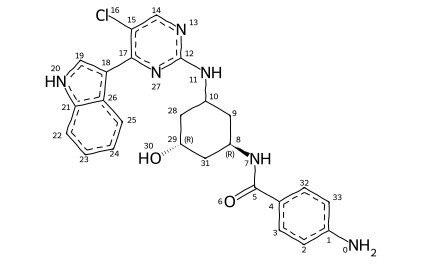 Nc1ccc(C(=O)N[C@@H]2CC(Nc3ncc(Cl)c(-c4c[nH]c5ccccc45)n3)C[C@@H](O)C2)cc1